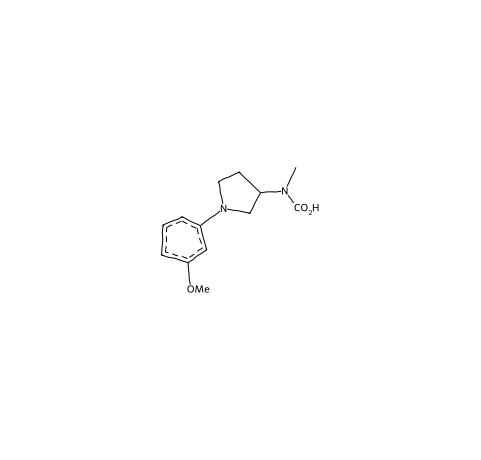 COc1cccc(N2CCC(N(C)C(=O)O)C2)c1